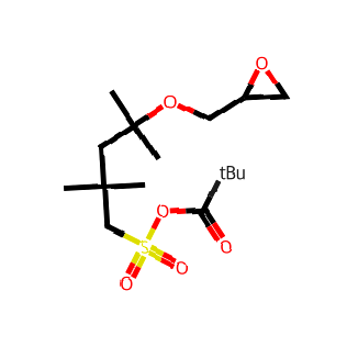 CC(C)(CC(C)(C)OCC1CO1)CS(=O)(=O)OC(=O)C(C)(C)C